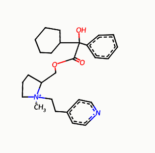 C[N@+]1(CCc2ccncc2)CCCC1COC(=O)C(O)(c1ccccc1)C1CCCCC1